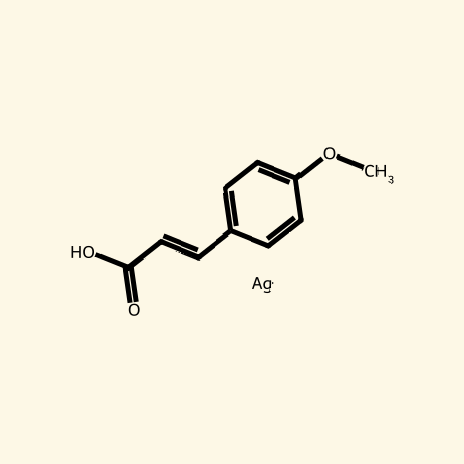 COc1ccc(/C=C/C(=O)O)cc1.[Ag]